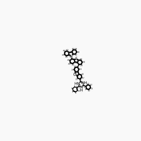 C1=CCCC(C2NC(c3ccccc3)NC(c3ccc4c(c3)oc3ccc(-c5cccc6sc7c(-n8c9ccccc9c9ccccc98)cccc7c56)cc34)N2)=C1